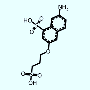 Nc1ccc2cc(OCCCS(=O)(=O)O)cc(S(=O)(=O)O)c2c1